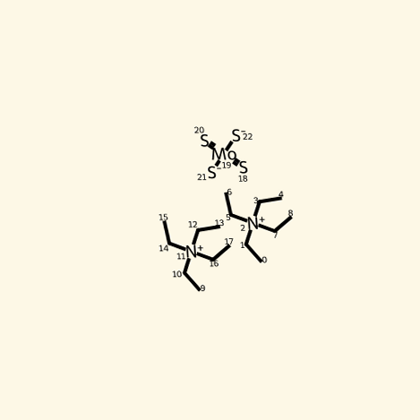 CC[N+](CC)(CC)CC.CC[N+](CC)(CC)CC.[S]=[Mo](=[S])([S-])[S-]